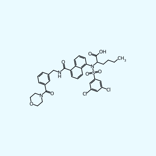 CCCCC(C(=O)O)N(c1cccc2c(C(=O)NCc3cccc(C(=O)N4CCOCC4)c3)cccc12)S(=O)(=O)c1cc(Cl)cc(Cl)c1